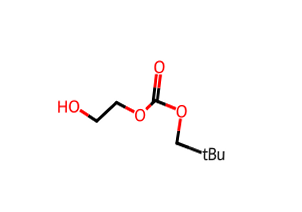 CC(C)(C)COC(=O)OCCO